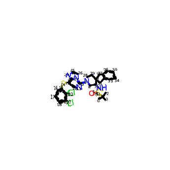 CC(C)(C)[S@@+]([O-])NC1CN(c2ncc(Sc3cccc(Cl)c3Cl)c3nccn23)CCC12Cc1ccccc1C2